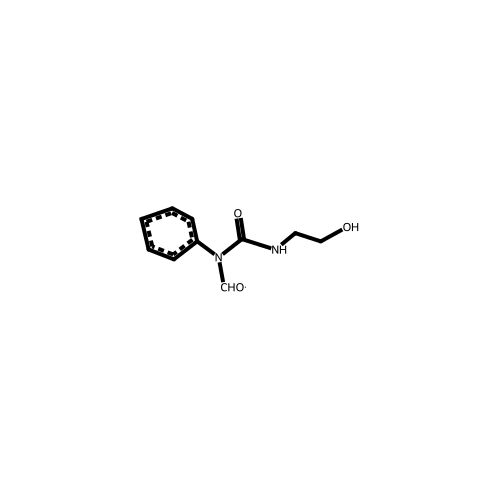 O=[C]N(C(=O)NCCO)c1ccccc1